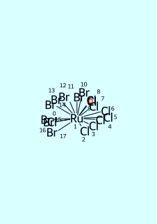 [Cl][Ru]([Cl])([Cl])([Cl])([Cl])([Cl])([Cl])([Cl])([Cl])([Br])([Br])([Br])([Br])([Br])([Br])([Br])[Br]